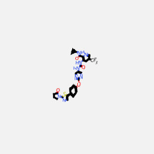 O=C(Nc1cnc(Oc2ccc(-c3cnc(N4CCCC4=O)s3)cc2)nc1)Nc1cc(C(F)(F)F)cnc1C(=O)NC1CC1